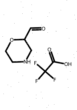 O=C(O)C(F)(F)F.O=CC1CNCCO1